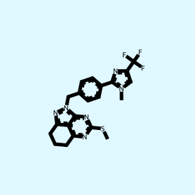 CSc1nc2c3c(nn(Cc4ccc(-c5nc(C(F)(F)F)cn5C)cc4)c3n1)CCC2